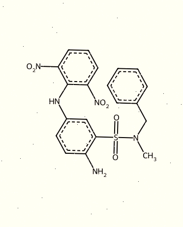 CN(Cc1ccccc1)S(=O)(=O)c1cc(Nc2c([N+](=O)[O-])cccc2[N+](=O)[O-])ccc1N